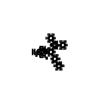 CC1(C)OB(c2cc(-c3ccc(-c4ccccn4)cc3)cc(-c3nc(-c4ccccc4)nc(-c4ccccc4)n3)c2)OC1(C)C